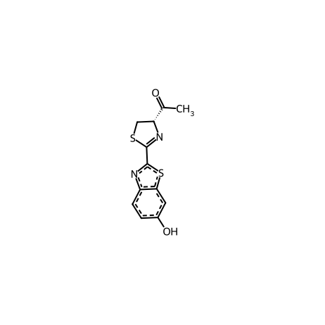 CC(=O)[C@H]1CSC(c2nc3ccc(O)cc3s2)=N1